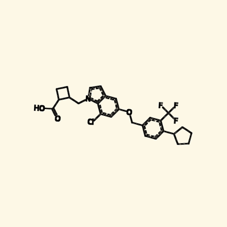 O=C(O)C1CCC1Cn1ccc2cc(OCc3ccc(C4CCCC4)c(C(F)(F)F)c3)cc(Cl)c21